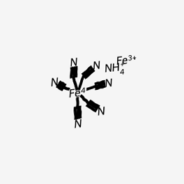 N#[C][Fe-4]([C]#N)([C]#N)([C]#N)([C]#N)[C]#N.[Fe+3].[NH4+]